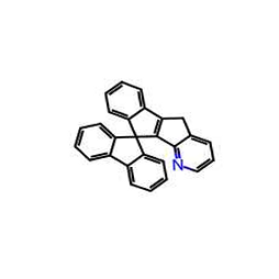 c1cnc2c(c1)CC1=C2C2(c3ccccc31)c1ccccc1-c1ccccc12